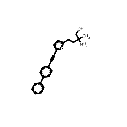 CC(N)(CO)CCc1ccc(C#Cc2ccc(-c3ccccc3)cc2)s1